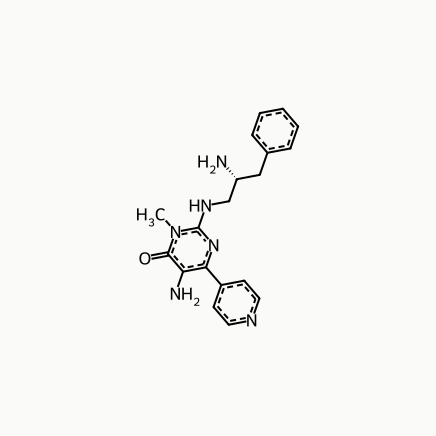 Cn1c(NC[C@H](N)Cc2ccccc2)nc(-c2ccncc2)c(N)c1=O